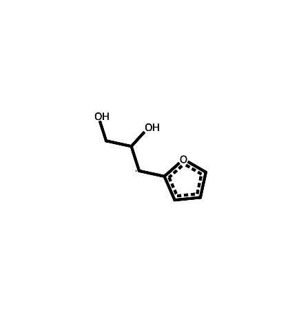 OCC(O)[CH]c1ccco1